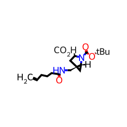 C=CCCCC(=O)NC[C@@]12C[C@@H](C(=O)O)N(C(=O)OC(C)(C)C)[C@@H]1C2